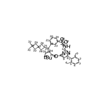 Cc1cccc(C)c1-c1cc2nc(n1)NS(=O)(=O)c1cccc(c1)C(C1CC3(C1)CC(C)(C)C3)[C@H](CC(C)(C)C)CO2